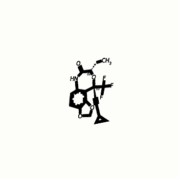 CC[C@@H]1O[C@](C#CC2CC2)(C(F)(F)F)c2c(ccc3c2OCO3)NC1=O